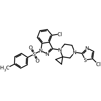 Cc1ccc(S(=O)(=O)n2nc(N3CCN(c4ncc(Cl)s4)CC34CC4)c3c(Cl)cccc32)cc1